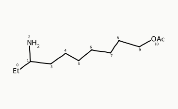 CCC(N)CCCCCCCOC(C)=O